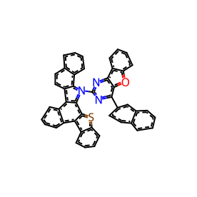 c1ccc2cc(-c3nc(-n4c5c6ccccc6ccc5c5c6ccccc6c6c7ccccc7sc6c54)nc4c3oc3ccccc34)ccc2c1